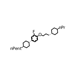 CCCCC[C@H]1CC[C@H](c2ccc(OCCC[C@H]3CC[C@H](CCC)CC3)c(F)c2)CC1